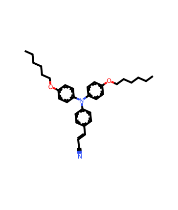 CCCCCCOc1ccc(N(c2ccc(C=CC#N)cc2)c2ccc(OCCCCCC)cc2)cc1